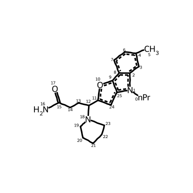 CCCn1c2cc(C)ccc2c2oc(C(CCC(N)=O)N3CCCCC3)cc21